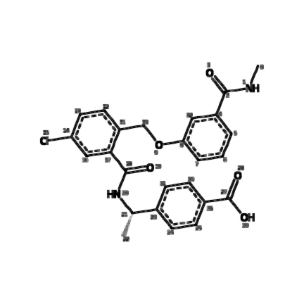 CNC(=O)c1cccc(OCc2ccc(Cl)cc2C(=O)N[C@@H](C)c2ccc(C(=O)O)cc2)c1